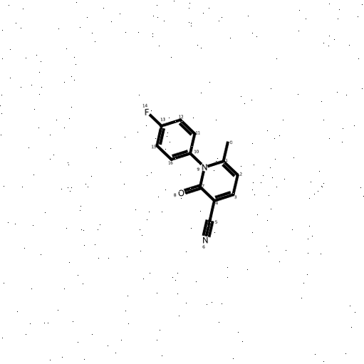 Cc1ccc(C#N)c(=O)n1-c1ccc(F)cc1